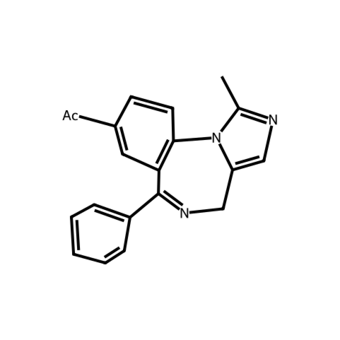 CC(=O)c1ccc2c(c1)C(c1ccccc1)=NCc1cnc(C)n1-2